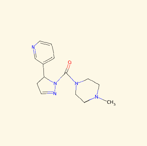 CN1CCN(C(=O)N2N=CCC2c2cccnc2)CC1